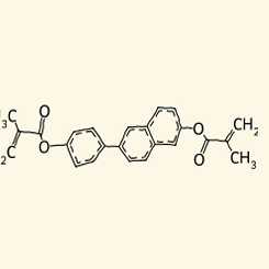 C=C(C)C(=O)Oc1ccc(-c2ccc3cc(OC(=O)C(=C)C)ccc3c2)cc1